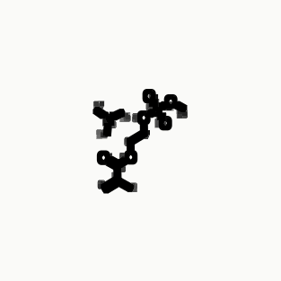 C=C(C)C(=O)OCCOS(=O)(=O)OC.CN(C)C